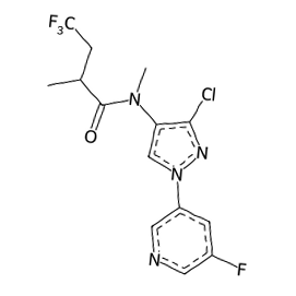 CC(CC(F)(F)F)C(=O)N(C)c1cn(-c2cncc(F)c2)nc1Cl